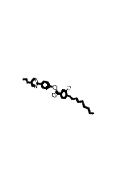 CCCCCCCCCc1ccc(C(=O)Oc2ccc(-c3ncc(CCC)cn3)cc2)cc1Cl